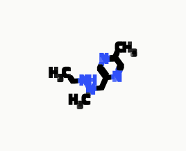 CCNN(C)Cc1cnc(C)cn1